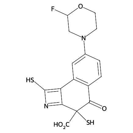 O=C(O)C1(S)C(=O)c2ccc(N3CCOC(F)C3)cc2C2=C(S)N=C21